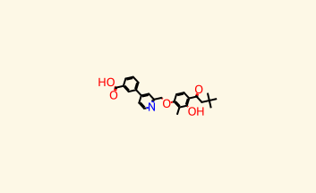 Cc1c(OCc2cc(-c3cccc(C(=O)O)c3)ccn2)ccc(C(=O)CC(C)(C)C)c1O